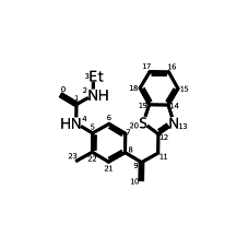 C=C(NCC)Nc1ccc(C(=C)Cc2nc3ccccc3s2)cc1C